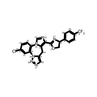 FC(F)(F)c1ccc(C2COC(c3ncn4c3Cc3cnnn3-c3cc(Cl)ccc3-4)=N2)cc1